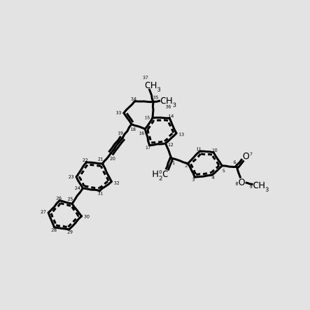 C=C(c1ccc(C(=O)OC)cc1)c1ccc2c(c1)C(C#Cc1ccc(-c3ccccc3)cc1)=CCC2(C)C